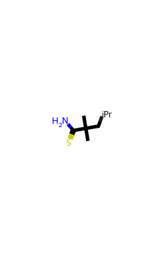 CC(C)CC(C)(C)C(N)=S